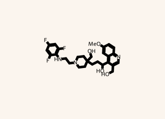 COc1ccc2ncc(CO)c(C(O)CCC3(CO)CCN(CCNc4c(F)cc(F)cc4F)CC3)c2c1